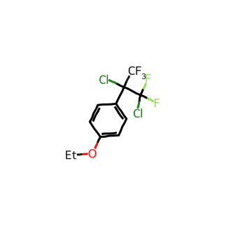 CCOc1ccc(C(Cl)(C(F)(F)F)C(F)(F)Cl)cc1